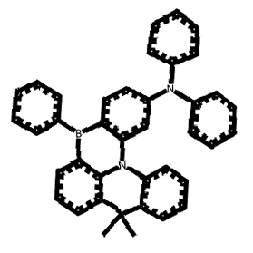 CC1(C)c2ccccc2N2c3cc(N(c4ccccc4)c4ccccc4)ccc3B(c3ccccc3)c3cccc1c32